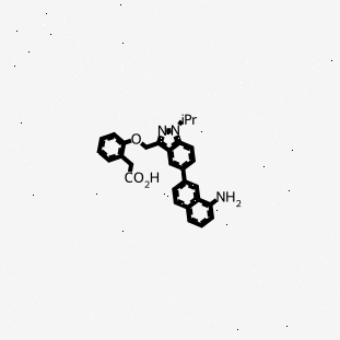 CC(C)n1nc(COc2ccccc2CC(=O)O)c2cc(-c3ccc4cccc(N)c4c3)ccc21